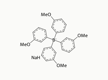 COc1cccc([B-](c2cccc(OC)c2)(c2cccc(OC)c2)c2cccc(OC)c2)c1.[NaH]